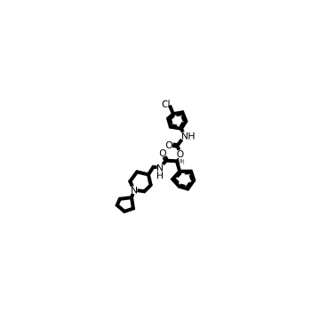 O=C(Nc1ccc(Cl)cc1)O[C@@H](C(=O)NCC1CCN(C2CCCC2)CC1)c1ccccc1